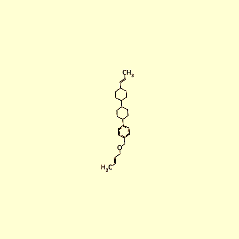 CC=CCOCc1ccc(C2CCC(C3CCC(C=CC)CC3)CC2)cc1